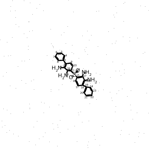 Nc1c(-c2ccccc2)ccc(S(=O)(=O)c2ccc(-c3ccccc3)c(N)c2N)c1N